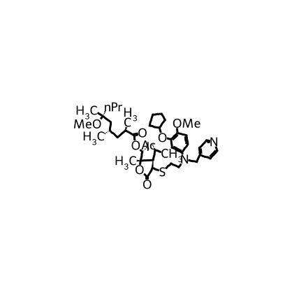 CCC[C@](C)(C[C@@H](C)C[C@@H](C)C(=O)O[C@H](I)[C@@]1(C)OC(=O)C(SCCN(Cc2ccncc2)c2ccc(OC)c(OC3CCCC3)c2)[C@@H]1[C@@H](C)C(C)=O)OC